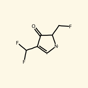 O=C1C(C(F)F)=[C][N]C1CF